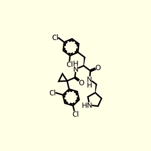 O=C(NC[C@H]1CCNC1)[C@H](Cc1ccc(Cl)cc1Cl)NC(=O)C1(c2ccc(Cl)cc2Cl)CC1